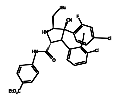 CCOC(=O)c1ccc(NC(=O)[C@@H]2N[C@@H](CC(C)(C)C)[C@](C#N)(c3ccc(Cl)cc3F)C2c2cccc(Cl)c2F)cc1